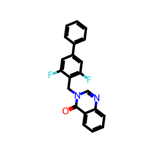 O=c1c2ccccc2ncn1Cc1c(F)cc(-c2ccccc2)cc1F